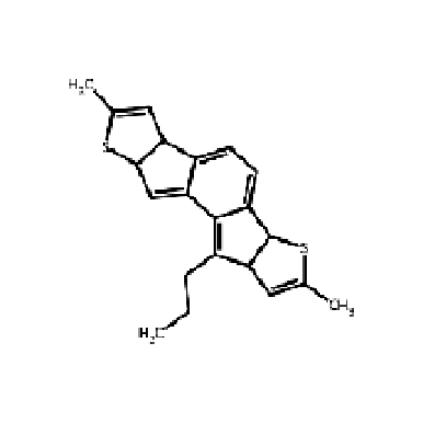 CCCC1=c2c(ccc3c2=CC2SC(C)=CC32)C2SC(C)=CC12